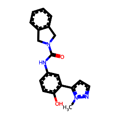 Cn1nccc1-c1cc(NC(=O)N2Cc3ccccc3C2)ccc1O